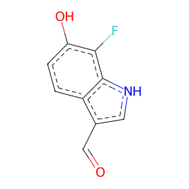 O=Cc1c[nH]c2c(F)c(O)ccc12